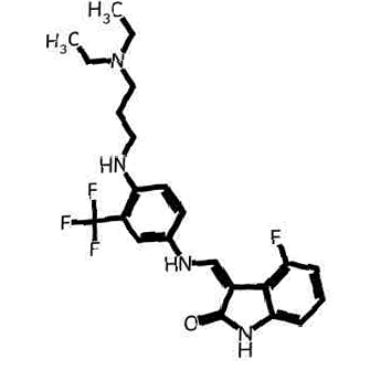 CCN(CC)CCCNc1ccc(N/C=C2\C(=O)Nc3cccc(F)c32)cc1C(F)(F)F